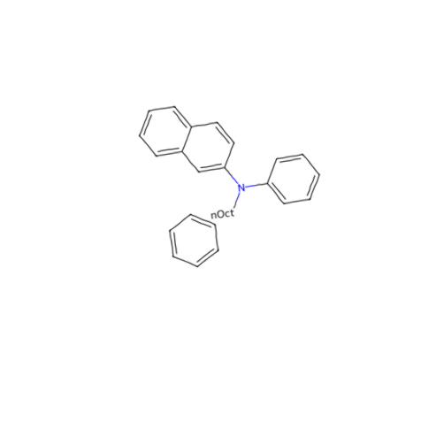 CCCCCCCCN(c1ccccc1)c1ccc2ccccc2c1.c1ccccc1